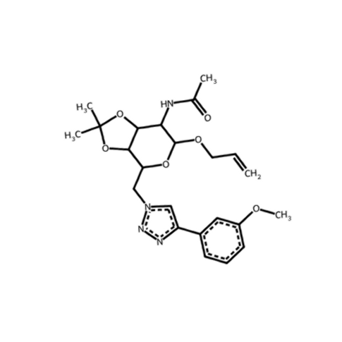 C=CCOC1OC(Cn2cc(-c3cccc(OC)c3)nn2)C2OC(C)(C)OC2C1NC(C)=O